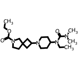 CCOC(=O)N1CCC2(CC(N3CCC(N(CC)C(=O)N(C)C)CC3)C2)C1